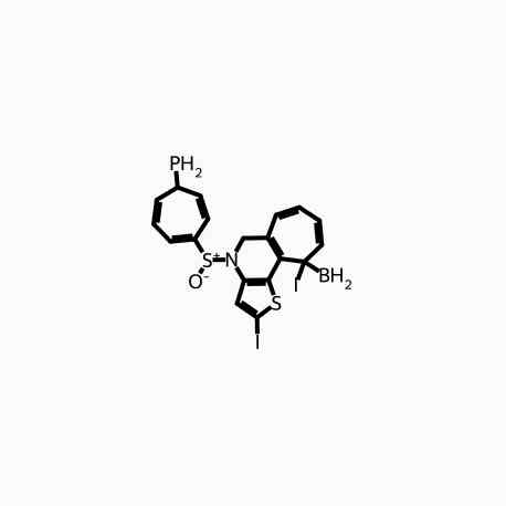 BC1(I)C=CC=CC2=C1c1sc(I)cc1N([S+]([O-])C1=CC=CC(P)C=C1)C2